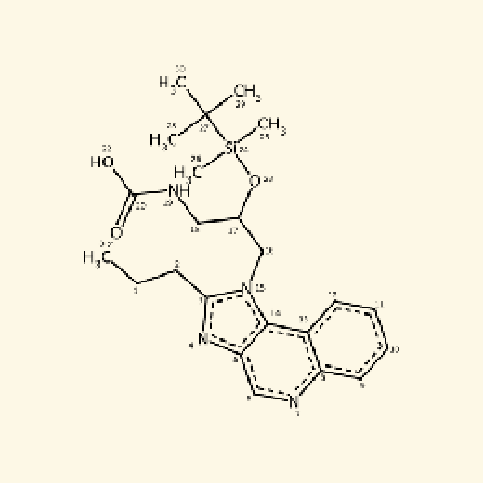 CCCc1nc2cnc3ccccc3c2n1CC(CNC(=O)O)O[Si](C)(C)C(C)(C)C